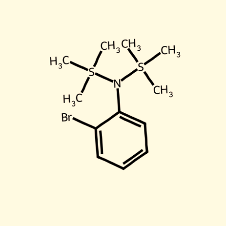 CS(C)(C)N(c1ccccc1Br)S(C)(C)C